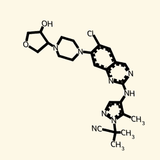 Cc1c(Nc2ncc3cc(Cl)c(N4CCN(C5COCC5O)CC4)cc3n2)cnn1C(C)(C)C#N